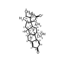 CCCCC(=O)OC1(C(=O)CO)[C@H](C)C[C@H]2[C@@H]3CCC4=CC(=O)C=C[C@]4(C)[C@@]3(F)[C@@H](O)C[C@@]21C